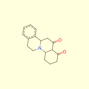 O=C1CCCC2C1C(=O)CC1c3ccccc3CCN12